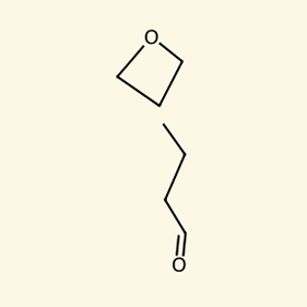 C1COC1.CCCC=O